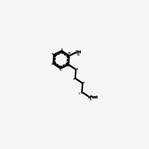 CCCCCSCCCc1ccccc1O